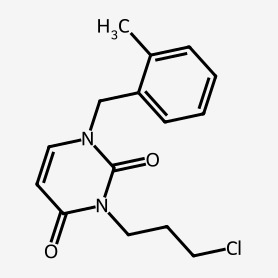 Cc1ccccc1Cn1ccc(=O)n(CCCCl)c1=O